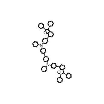 c1ccc(-c2oc3c(-c4ccc(N(c5ccccc5)c5ccc(-c6ccc(N(c7ccccc7)c7ccc(-c8cccc9c8OC(c8ccccc8)C9c8ccccc8)cc7)cc6)cc5)cc4)cccc3c2-c2ccccc2)cc1